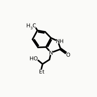 CCC(O)Cn1c(=O)[nH]c2cc(C)ccc21